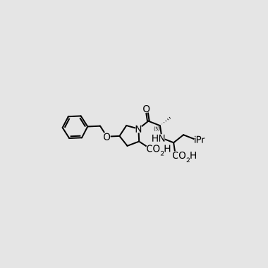 CC(C)CC(N[C@@H](C)C(=O)N1CC(OCc2ccccc2)CC1C(=O)O)C(=O)O